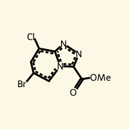 COC(=O)c1nnc2c(Cl)cc(Br)cn12